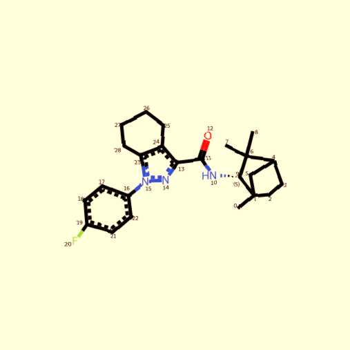 CC12CCC(C1)C(C)(C)[C@H]2NC(=O)c1nn(-c2ccc(F)cc2)c2c1CCCC2